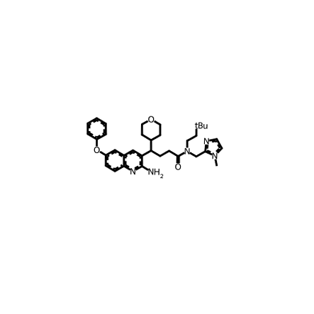 Cn1ccnc1CN(CCC(C)(C)C)C(=O)CCC(c1cc2cc(Oc3ccccc3)ccc2nc1N)C1CCOCC1